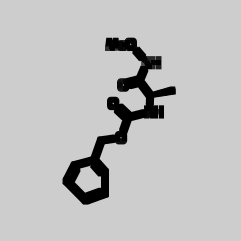 CONC(=O)[C@@H](C)NC(=O)OCc1ccccc1